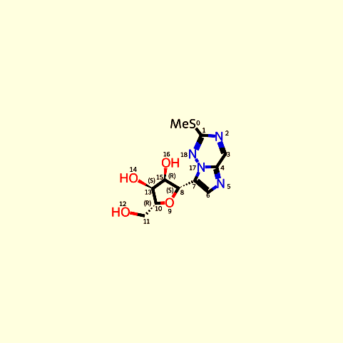 CSc1ncc2ncc([C@@H]3O[C@H](CO)[C@@H](O)[C@H]3O)n2n1